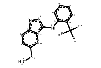 CSc1ccc2nnc(Nc3ccccc3C(F)(F)F)n2n1